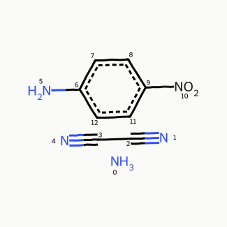 N.N#CC#N.Nc1ccc([N+](=O)[O-])cc1